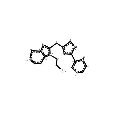 CCCn1c(Cc2c[nH]c(-c3cnccn3)n2)nc2cnccc21